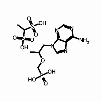 CC(Cn1cnc2c(N)ncnc21)OCP(=O)(O)O.CC(S(=O)(=O)O)S(=O)(=O)O